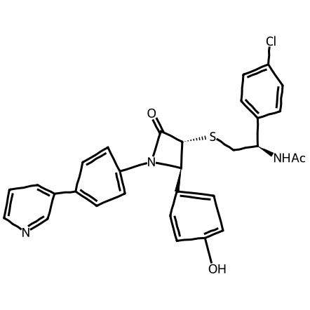 CC(=O)N[C@@H](CS[C@H]1C(=O)N(c2ccc(-c3cccnc3)cc2)[C@@H]1c1ccc(O)cc1)c1ccc(Cl)cc1